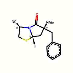 CN[C@@]1(Cc2ccccc2)C[C@@H]2SC[C@@H](C#N)N2C1=O